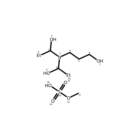 CCC(O)N(CCCO)C(O)CC.COS(=O)(=O)O